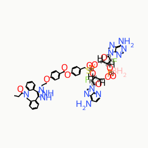 B[P@]1(=O)OC[C@H]2O[C@@H](n3cnc4c(N)ccnc43)[C@H](F)[C@@H]2O[P@](=O)(SCc2ccc(OC(=O)c3ccc(OCCN4NNC5=C4c4ccccc4N(C(=O)CC)Cc4ccccc45)cc3)cc2)OC[C@H]2O[C@@H](n3cnc4c(N)ncnc43)[C@H](F)[C@@H]2O1